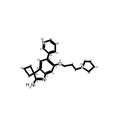 NC1=Nc2cc(OCCCN3CCCC3)c(-c3cccnc3)cc2C12CCC2